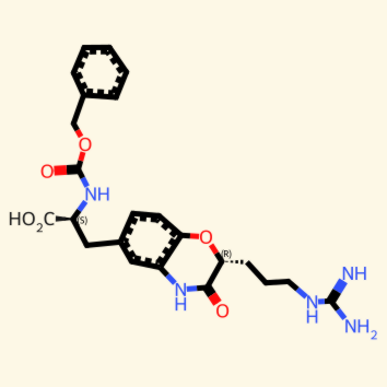 N=C(N)NCCC[C@H]1Oc2ccc(C[C@H](NC(=O)OCc3ccccc3)C(=O)O)cc2NC1=O